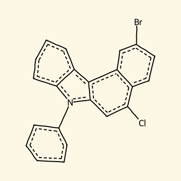 Clc1cc2c(c3cc(Br)ccc13)c1ccccc1n2-c1ccccc1